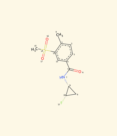 Cc1ccc(C(=O)N[C@@H]2C[C@@H]2F)cc1S(C)(=O)=O